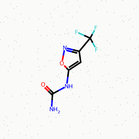 NC(=O)Nc1cc(C(F)(F)F)no1